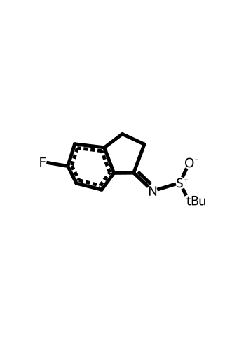 CC(C)(C)[S+]([O-])/N=C1\CCc2cc(F)ccc21